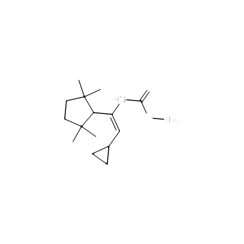 CC(C)(C)OC(=O)NC(=CC1CC1)C1C(C)(C)CCC1(C)C